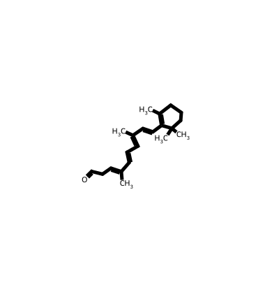 CC(C=CC1=C(C)CCCC1(C)C)=CC=CC(C)=CC[C]=O